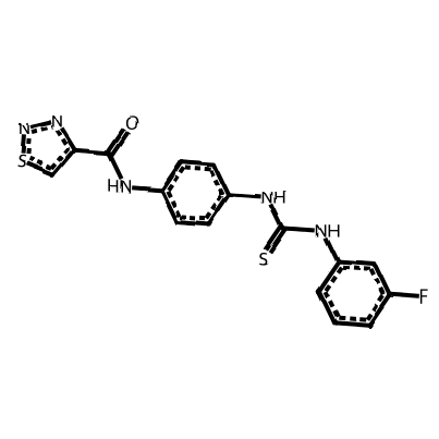 O=C(Nc1ccc(NC(=S)Nc2cccc(F)c2)cc1)c1csnn1